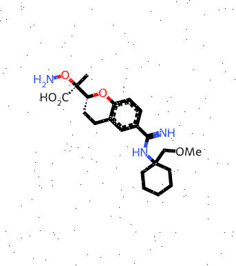 COCC1(NC(=N)c2ccc3c(c2)CC[C@H]([C@](C)(ON)C(=O)O)O3)CCCCC1